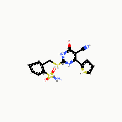 N#Cc1c(-c2cccs2)nc(SCc2ccccc2S(N)(=O)=O)[nH]c1=O